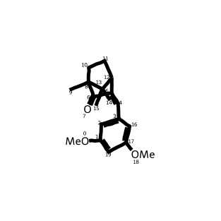 COc1cc(C=C2C(=O)C3(C)CCC2C3(C)C)cc(OC)c1